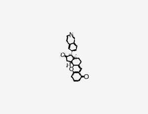 C[C@]12CCC3=CC4=C(CCCC4=O)OC3[C@@H]1CC(=O)[C@@H]2c1ccc2cnccc2c1